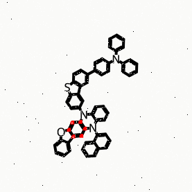 c1ccc(N(c2ccccc2)c2ccc(-c3ccc4sc5ccc(N(c6ccc7c(c6)oc6ccccc67)c6ccccc6N(c6ccccc6)c6cccc7ccccc67)cc5c4c3)cc2)cc1